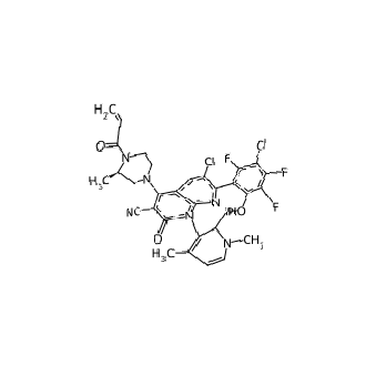 C=CC(=O)N1CCN(c2c(C#N)c(=O)n(C3=C(C)C=CN(C)C3C(C)C)c3nc(-c4c(O)c(F)c(F)c(Cl)c4F)c(Cl)cc23)C[C@H]1C